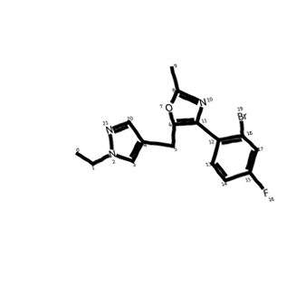 CCn1cc(Cc2oc(C)nc2-c2ccc(F)cc2Br)cn1